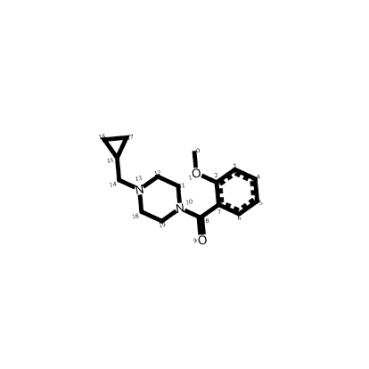 COc1ccccc1C(=O)N1CCN(CC2CC2)CC1